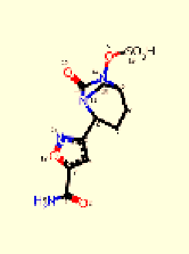 NC(=O)c1cc(C2CCC3CN2C(=O)N3OS(=O)(=O)O)no1